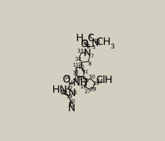 CN(C)CC(=O)N1CCC(c2ccc(NC(=O)c3nc(C#N)c[nH]3)c(C3=CCCCC3)c2)CC1.Cl